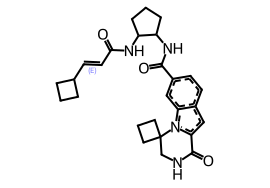 O=C(/C=C/C1CCC1)NC1CCCC1NC(=O)c1ccc2cc3n(c2c1)C1(CCC1)CNC3=O